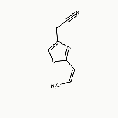 C/C=C\c1nc(CC#N)cs1